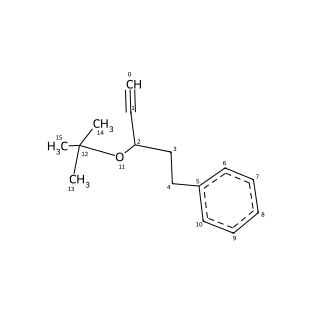 C#CC(CCc1ccccc1)OC(C)(C)C